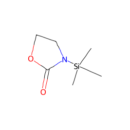 C[Si](C)(C)N1CCOC1=O